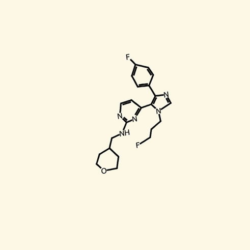 FCCCn1cnc(-c2ccc(F)cc2)c1-c1ccnc(NCC2CCOCC2)n1